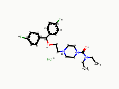 CCN(CC)C(=O)N1CCN(CCOC(c2ccc(F)cc2)c2ccc(F)cc2)CC1.Cl